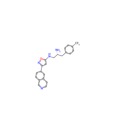 N[C@@H](CNc1cc(-c2ccc3cnccc3c2)no1)Cc1ccc(C(F)(F)F)cc1